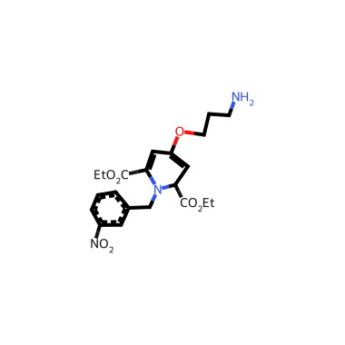 CCOC(=O)C1=CC(OCCCN)=CC(C(=O)OCC)N1Cc1cccc([N+](=O)[O-])c1